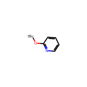 CC(C)(C)Oc1ccc[c]n1